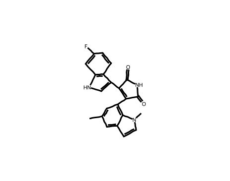 Cc1cc(C2=C(c3c[nH]c4cc(F)ccc34)C(=O)NC2=O)c2c(ccn2C)c1